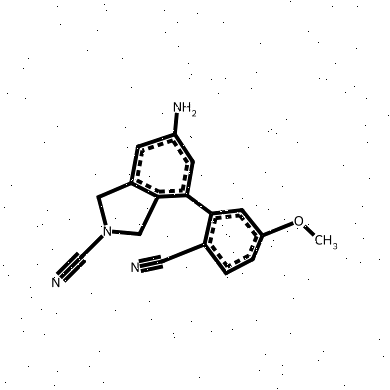 COc1ccc(C#N)c(-c2cc(N)cc3c2CN(C#N)C3)c1